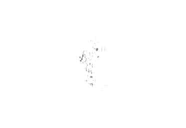 CN(CC1CCC1)C(=O)OCc1c(-c2cnc(O[C@H]3CCC[C@H](C(=O)O)C3)cn2)nnn1C